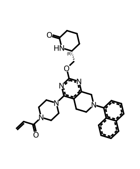 C=CC(=O)N1CCN(c2nc(OC[C@H]3CCCC(=O)N3)nc3c2CCN(c2cccc4ccccc24)C3)CC1